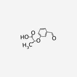 C[C@H](Oc1cccc(C=O)c1)C(=O)O